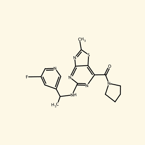 Cc1nc2nc(NC(C)c3cncc(F)c3)nc(C(=O)N3CCCC3)c2s1